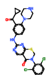 O=C(c1cc(Nc2ncc3c(n2)SCN(c2c(Cl)cccc2Cl)C3=O)ccc1N1CCNCC1)C1CC1